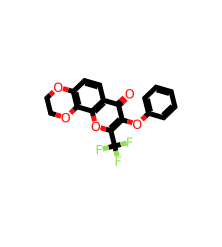 O=c1c(Oc2ccccc2)c(C(F)(F)F)oc2c3c(ccc12)OCCO3